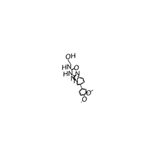 COc1ccc(-c2ccc3nc(NC(=O)NCCO)nn3c2)cc1OC